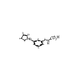 O=C(O)NCc1cccc(N2CCCC2)c1